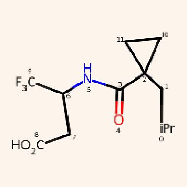 CC(C)CC1(C(=O)NC(CC(=O)O)C(F)(F)F)CC1